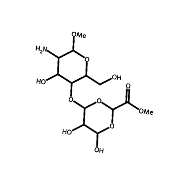 COC(=O)C1OC(O)C(O)C(OC2C(CO)OC(OC)C(N)C2O)O1